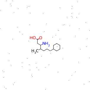 CC(CCCC1CCCCC1)C(N)CC(=O)O